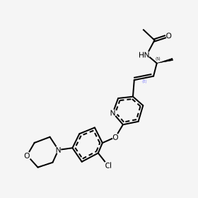 CC(=O)N[C@@H](C)/C=C/c1ccc(Oc2ccc(N3CCOCC3)cc2Cl)nc1